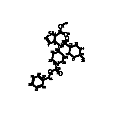 COC(=O)c1sccc1N(C(=O)C1CCC(C)CC1)C1CCN(C(=O)OCc2ccccc2)CC1